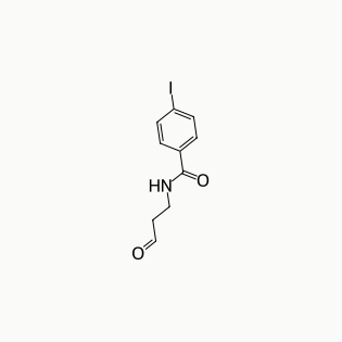 O=CCCNC(=O)c1ccc(I)cc1